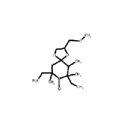 CCC1(C)CC2(OCC(COC)O2)C(C)C(C)(CC)N1[O]